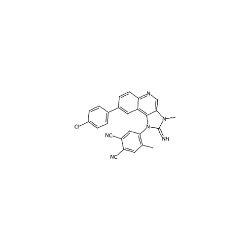 Cc1cc(C#N)c(C#N)cc1-n1c(=N)n(C)c2cnc3ccc(-c4ccc(Cl)cc4)cc3c21